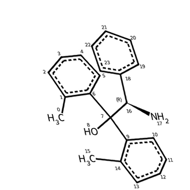 Cc1ccccc1C(O)(c1ccccc1C)[C@H](N)c1ccccc1